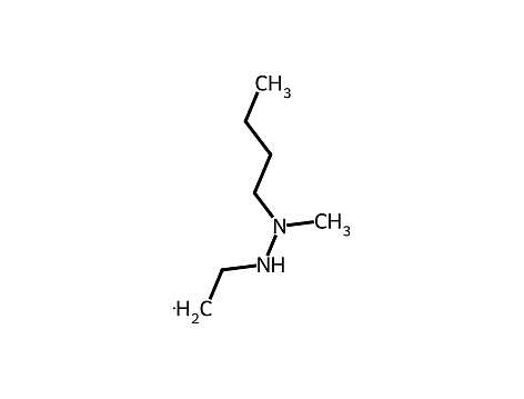 [CH2]CNN(C)CCCC